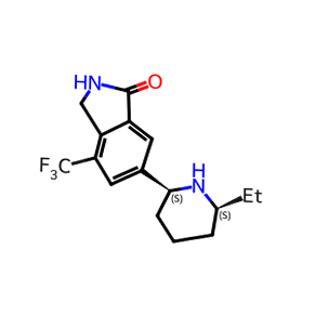 CC[C@H]1CCC[C@@H](c2cc3c(c(C(F)(F)F)c2)CNC3=O)N1